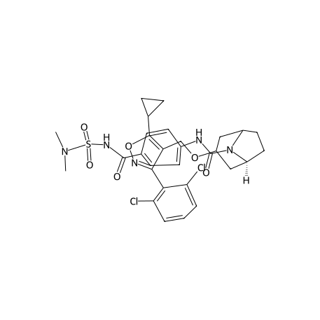 CN(C)S(=O)(=O)NC(=O)c1ccc(NC(=O)N2C3CC[C@H]2CC(OCc2c(-c4c(Cl)cccc4Cl)noc2C2CC2)C3)cc1